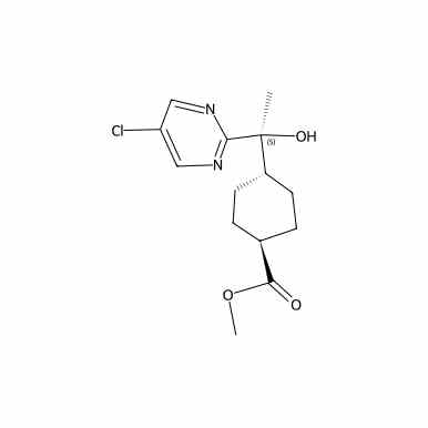 COC(=O)[C@H]1CC[C@H]([C@](C)(O)c2ncc(Cl)cn2)CC1